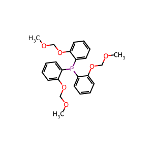 COCOc1ccccc1P(c1ccccc1OCOC)c1ccccc1OCOC